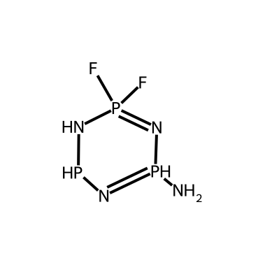 N[PH]1=NPNP(F)(F)=N1